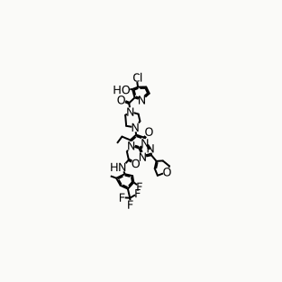 CCc1c(N2CCN(C(=O)c3nccc(Cl)c3O)CC2)c(=O)n2nc(C3=CCOCC3)nc2n1CC(=O)Nc1cc(F)c(C(F)(F)F)cc1C